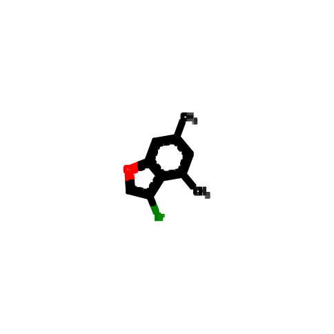 Cc1cc(C)c2c(Br)coc2c1